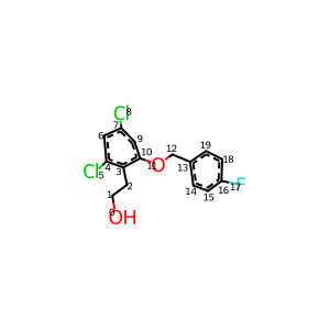 OCCc1c(Cl)cc(Cl)cc1OCc1ccc(F)cc1